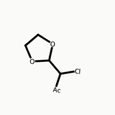 CC(=O)C(Cl)C1OCCO1